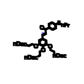 CCCCCCCCCCCCOc1cc(/C=C/C(=O)c2ccc(SCCC)cc2)cc(OCCCCCCCCCCCC)c1OCCCCCCCCCCCC